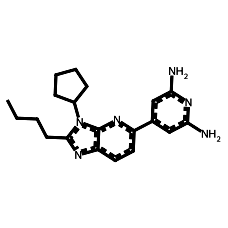 CCCCc1nc2ccc(-c3cc(N)nc(N)c3)nc2n1C1CCCC1